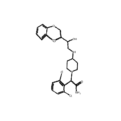 NC(=O)C(c1c(Cl)cccc1Cl)N1CCC(NCC(O)C2COc3ccccc3O2)CC1